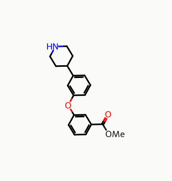 COC(=O)c1cccc(Oc2cccc(C3CCNCC3)c2)c1